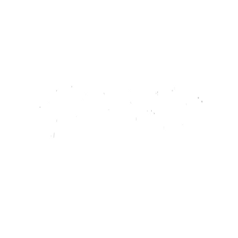 NC1CCN(CC(O)COc2ccc(Cl)c(F)c2)CC1